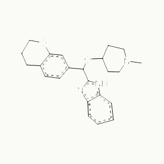 CN1CCC(OC(c2ccc3c(c2)OCCC3)c2nc3ccccc3[nH]2)CC1